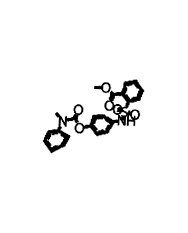 COC(=O)c1ccccc1S(=O)(=O)Nc1ccc(OC(=O)N(C)c2ccccc2)cc1